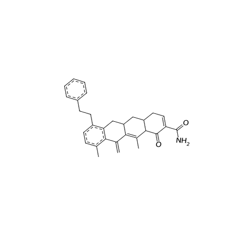 C=C1C2=C(C)C3C(=O)C(C(N)=O)=CCC3CC2Cc2c(CCc3ccccc3)ccc(C)c21